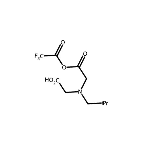 CC(C)CN(CC(=O)O)CC(=O)OC(=O)C(F)(F)F